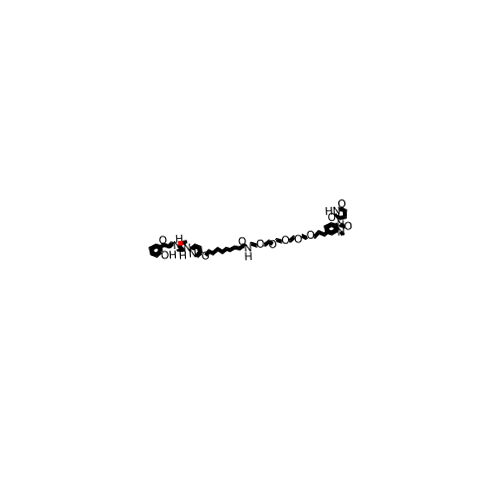 Cn1c(=O)n(C2CCC(=O)NC2=O)c2ccc(CCCOCCOCCOCCOCCOCCNC(=O)CCCCCCCCOc3ccc(N4C[C@H]5C[C@@H]4CN5/C=C/C(=O)c4ccccc4O)nc3)cc21